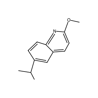 COc1ccc2cc(C(C)C)ccc2n1